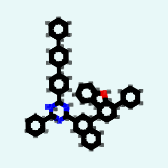 c1ccc(C2=NC(c3cc(-c4ccc(-c5ccccc5)c5oc6ccccc6c45)c4ccccc4c3)=NC(c3ccc(-c4ccc(-c5ccccc5)cc4)cc3)N2)cc1